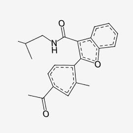 CC(=O)c1ccc(-c2oc3ccccc3c2C(=O)NCC(C)C)c(C)c1